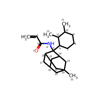 C=CC(=O)NC1(C2CCCC(C)C2C)C2CC3CC1CC(C)(C3)C2